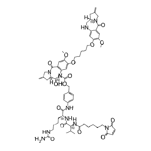 C=C1C[C@H]2CNc3cc(OCCCCCOc4cc5c(cc4OC)C(=O)N4CC(=C)C[C@H]4[C@H](O)N5C(=O)OCc4ccc(NC(=O)[C@H](CCCCNC(N)=O)NC(=O)[C@@H](NC(=O)CCCCCN5C(=O)C=CC5=O)C(C)C)cc4)c(OC)cc3C(=O)N2C1